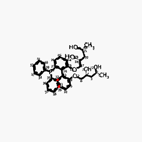 C[C@@H](O)C[C@@H](O)COc1ccccc1-c1c(OC[C@H](O)C[C@@H](C)O)cccc1P(c1ccccc1)c1ccccc1